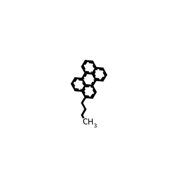 CCCCc1ccc2c3cccc4cccc(c5cccc1c52)c43